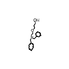 OCCCOCCN(Cc1ccccc1)Cc1ccccc1